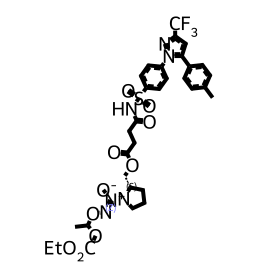 CCOC(=O)OC(C)O/N=[N+](\[O-])N1CCC[C@H]1COC(=O)CCC(=O)NS(=O)(=O)c1ccc(-n2nc(C(F)(F)F)cc2-c2ccc(C)cc2)cc1